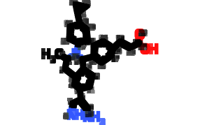 CC1Cc2cc(/C(C=N)=C/N)ccc2C(c2ccc(/C=C/C(=O)O)cc2)N1c1ccc(C2CC2)cc1